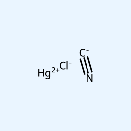 [C-]#N.[Cl-].[Hg+2]